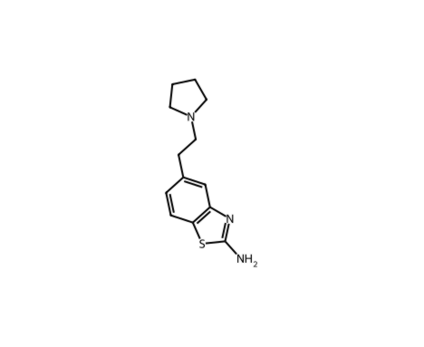 Nc1nc2cc(CCN3CCCC3)ccc2s1